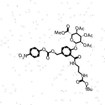 COC(=O)[C@H]1O[C@@H](Oc2ccc(COC(=O)Oc3ccc([N+](=O)[O-])cc3)cc2C(=O)NCCNC(=O)OC(C)(C)C)[C@H](OC(C)=O)[C@@H](OC(C)=O)[C@@H]1OC(C)=O